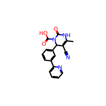 CC1=C(C#N)C(c2cccc(-c3ccccn3)c2)N(C(=O)O)C(=O)N1